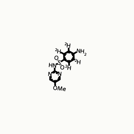 [2H]c1c([2H])c(S(=O)(=O)Nc2ncc(OC)cn2)c([2H])c([2H])c1N